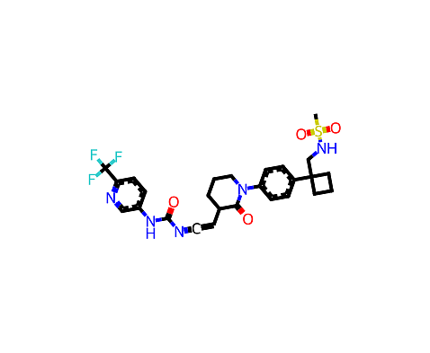 CS(=O)(=O)NCC1(c2ccc(N3CCCC(C=C=NC(=O)Nc4ccc(C(F)(F)F)nc4)C3=O)cc2)CCC1